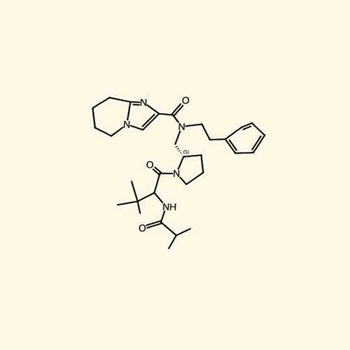 CC(C)C(=O)NC(C(=O)N1CCC[C@H]1CN(CCc1ccccc1)C(=O)c1cn2c(n1)CCCC2)C(C)(C)C